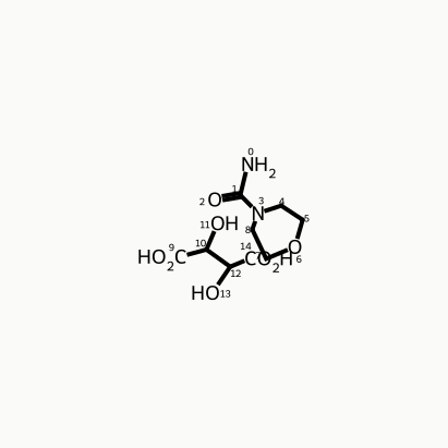 NC(=O)N1CCOCC1.O=C(O)C(O)C(O)C(=O)O